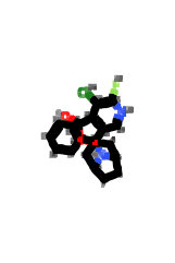 O=C1OC2(CC3CCC(C2)N3Cc2ccccc2)c2cnc(F)c(Cl)c21